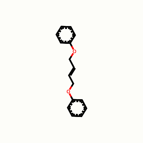 C(=C\COc1ccccc1)/COc1ccccc1